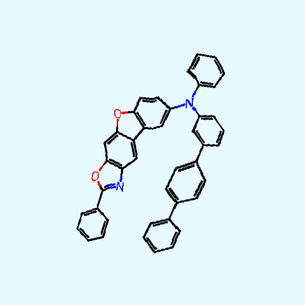 c1ccc(-c2ccc(-c3cccc(N(c4ccccc4)c4ccc5oc6cc7oc(-c8ccccc8)nc7cc6c5c4)c3)cc2)cc1